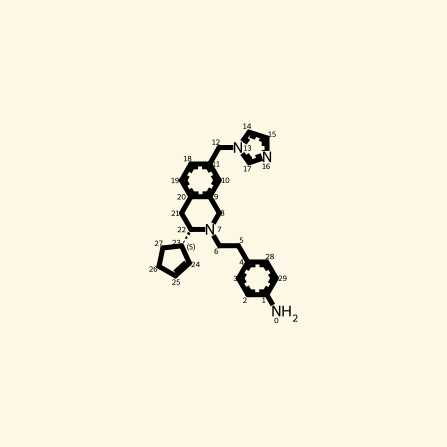 Nc1ccc(CCN2Cc3cc(Cn4ccnc4)ccc3CC2[C@@H]2C=CCC2)cc1